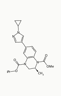 COC(=O)N1c2ccc(-c3cnn(C4CC4)c3)cc2N(C(=O)OC(C)C)C[C@@H]1C